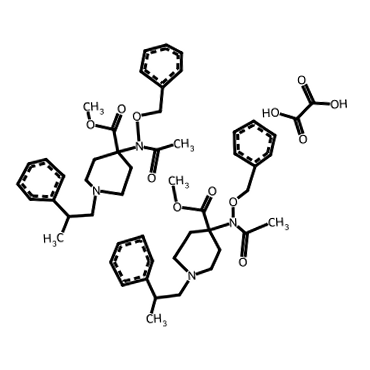 COC(=O)C1(N(OCc2ccccc2)C(C)=O)CCN(CC(C)c2ccccc2)CC1.COC(=O)C1(N(OCc2ccccc2)C(C)=O)CCN(CC(C)c2ccccc2)CC1.O=C(O)C(=O)O